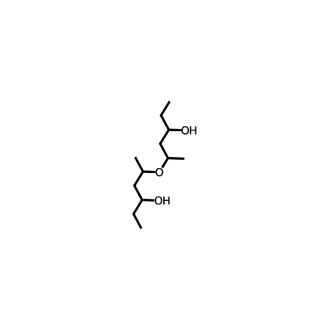 CCC(O)CC(C)OC(C)CC(O)CC